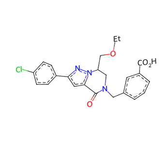 CCOCC1CN(Cc2cccc(C(=O)O)c2)C(=O)c2cc(-c3ccc(Cl)cc3)nn21